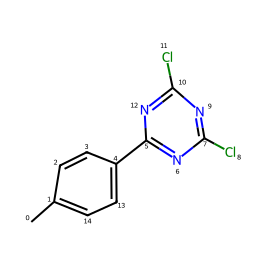 Cc1ccc(-c2nc(Cl)nc(Cl)n2)cc1